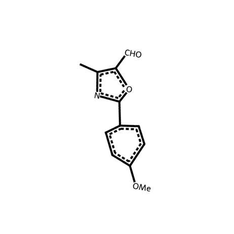 COc1ccc(-c2nc(C)c(C=O)o2)cc1